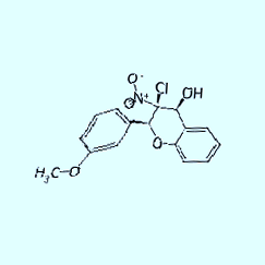 COc1cccc([C@@H]2Oc3ccccc3[C@H](O)[C@@]2(Cl)[N+](=O)[O-])c1